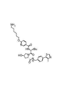 Cc1ncsc1-c1ccc(CNC(=O)[C@@H]2C[C@@H](O)CN2C(=O)[C@@H](NC(=O)c2ccc(OCCCCCCN)nc2)C(C)(C)C)cc1